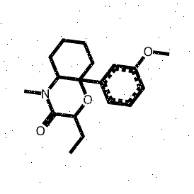 CCC1OC2(c3cccc(OC)c3)CCCCC2N(C)C1=O